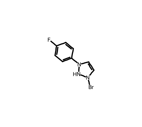 Fc1ccc(N2C=CN(Br)N2)cc1